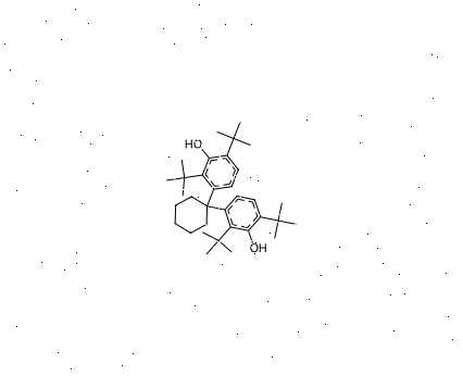 CC(C)(C)c1ccc(C2(c3ccc(C(C)(C)C)c(O)c3C(C)(C)C)CCCCC2)c(C(C)(C)C)c1O